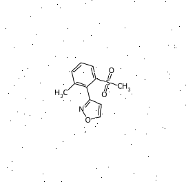 Cc1[c]ccc(S(C)(=O)=O)c1-c1ccon1